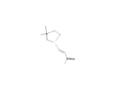 O=C(I)/C=C/N1CCC(F)(F)C1